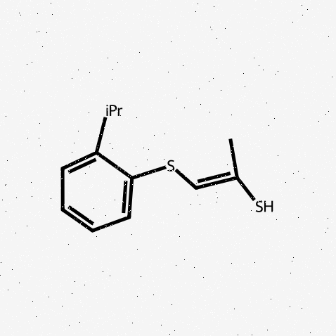 C/C(S)=C\Sc1ccccc1C(C)C